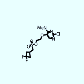 CNc1nc(Cl)ncc1OCCOS(=O)(=O)CC1CC(F)(F)C1